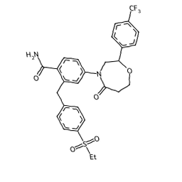 CCS(=O)(=O)c1ccc(Cc2cc(N3CC(c4ccc(C(F)(F)F)cc4)OCCC3=O)ccc2C(N)=O)cc1